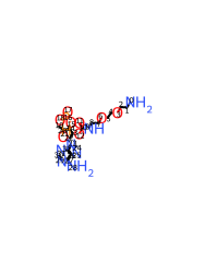 NCCOCCOCCNC(=O)OC1C2O[PH](=O)OCC2OC1n1cnc2c(N)ncnc21